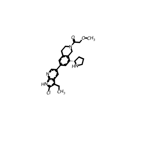 CCc1c(Cl)[nH]c2ncc(-c3cc4c(c([C@@H]5CCCN5)c3)CN(C(=O)COC)CC4)cc12